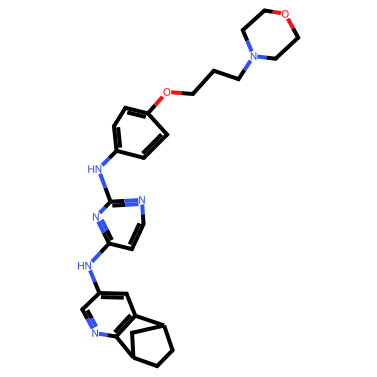 c1cc(Nc2cnc3c(c2)C2CCC3C2)nc(Nc2ccc(OCCCN3CCOCC3)cc2)n1